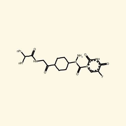 CCCC(CCC)C(=O)NCC(=O)C1CCC(N(N)C(=O)n2cc(F)c(=O)[nH]c2=O)CC1